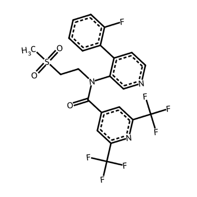 CS(=O)(=O)CCN(C(=O)c1cc(C(F)(F)F)nc(C(F)(F)F)c1)c1cnccc1-c1ccccc1F